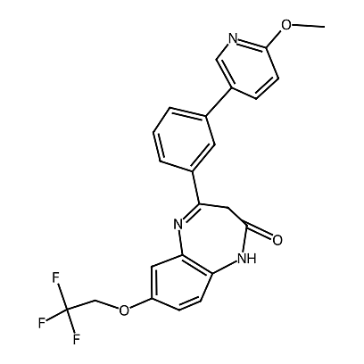 COc1ccc(-c2cccc(C3=Nc4cc(OCC(F)(F)F)ccc4NC(=O)C3)c2)cn1